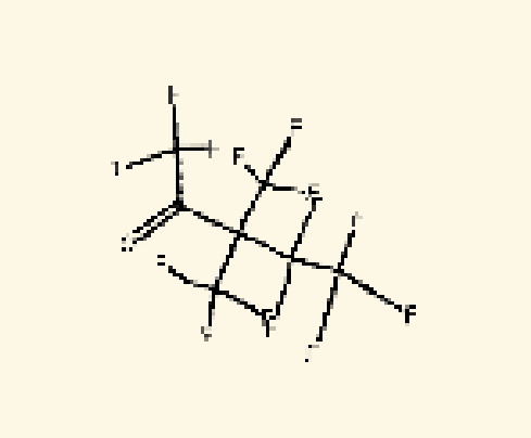 O=C(C(F)(F)F)C(C(F)(F)F)(C(F)(F)F)C(F)(F)C(F)(F)F